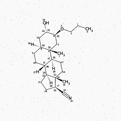 CCCO[C@H]1C[C@@]2(C)[C@@H](CC[C@@H]3[C@@H]2CC[C@]2(C)[C@@H](C#N)CC[C@@H]32)C[C@@H]1O